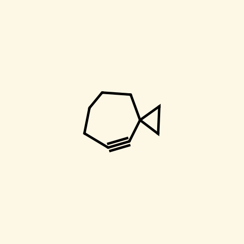 C1#CC2(CCCC1)CC2